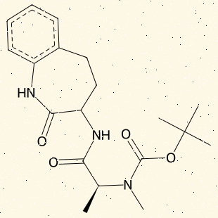 C[C@@H](C(=O)NC1CCc2ccccc2NC1=O)N(C)C(=O)OC(C)(C)C